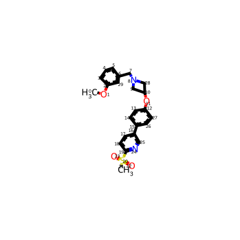 COc1cccc(CN2CC(Oc3ccc(-c4ccc(S(C)(=O)=O)nc4)cc3)C2)c1